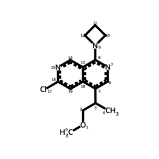 COCC(C)c1cnc(N2CCC2)c2cnc(Cl)cc12